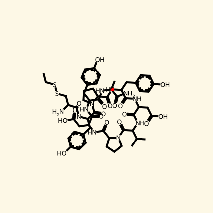 CCSSCC(N)C(=O)NC(Cc1ccc(O)cc1)C(=O)N1CCCC1C(=O)NC(Cc1ccc(O)cc1)C(=O)NC(CC(=O)O)C(=O)NC(C(=O)N1CCCC1C(=O)NC(CC(=O)O)C(=O)NC(Cc1ccc(O)cc1)C(=O)NC(C)C(N)=O)C(C)C